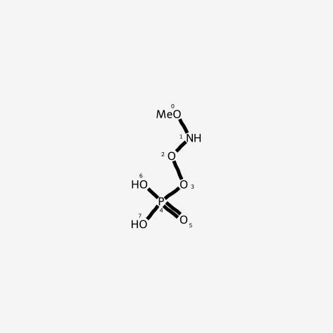 CONOOP(=O)(O)O